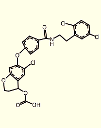 O=C(O)OC1CCOc2cc(Oc3ccc(C(=O)NCCc4cc(Cl)ccc4Cl)cc3)c(Cl)cc21